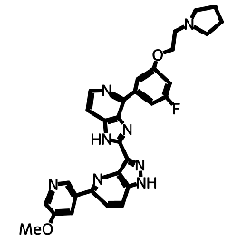 COc1cncc(-c2ccc3[nH]nc(-c4nc5c(-c6cc(F)cc(OCCN7CCCC7)c6)nccc5[nH]4)c3n2)c1